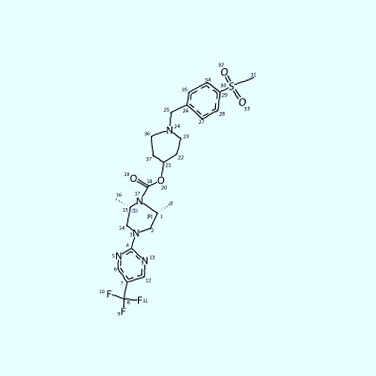 C[C@@H]1CN(c2ncc(C(F)(F)F)cn2)C[C@H](C)N1C(=O)OC1CCN(Cc2ccc(S(C)(=O)=O)cc2)CC1